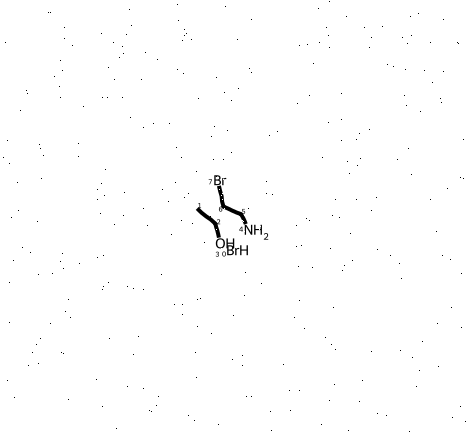 Br.CCO.NCCBr